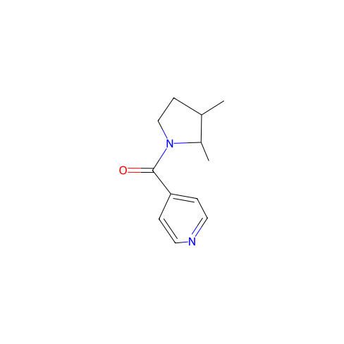 CC1CCN(C(=O)c2ccncc2)C1C